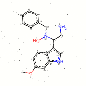 COc1ccc2c(C(CN)N(O)Cc3ccccc3)c[nH]c2c1